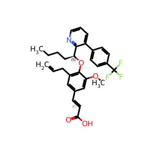 C=CCc1cc(/C=C/C(=O)O)cc(OC)c1O[C@@H](CCCC)c1ncccc1-c1ccc(C(F)(F)F)cc1